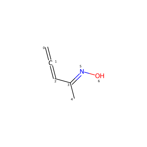 C=C=CC(C)=NO